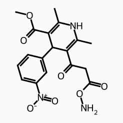 COC(=O)C1=C(C)NC(C)=C(C(=O)CC(=O)ON)C1c1cccc([N+](=O)[O-])c1